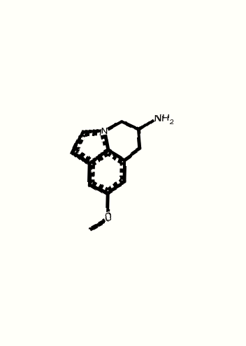 COc1cc2c3c(ccn3CC(N)C2)c1